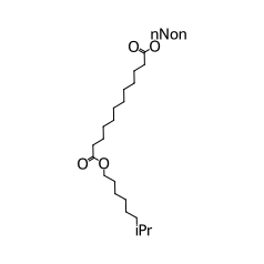 CCCCCCCCCOC(=O)CCCCCCCCCCC(=O)OCCCCCCC(C)C